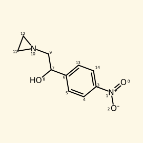 O=[N+]([O-])c1ccc(C(O)CN2CC2)cc1